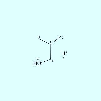 CC(C)CO.[H+]